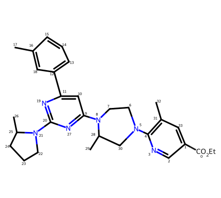 CCOC(=O)c1cnc(N2CCN(c3cc(-c4cccc(C)c4)nc(N4CCCC4C)n3)C(C)C2)c(C)c1